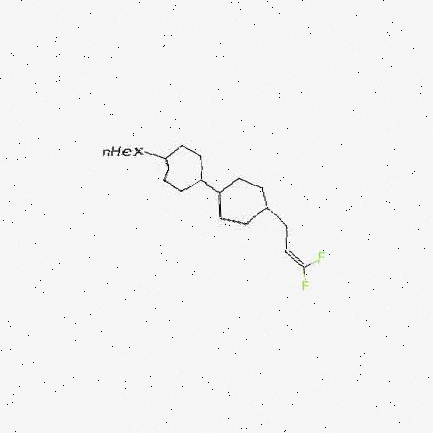 CCCCCCC1CCC(C2CCC(CC=C(F)F)CC2)CC1